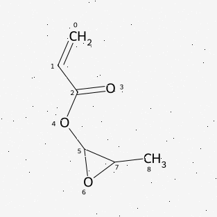 C=CC(=O)OC1OC1C